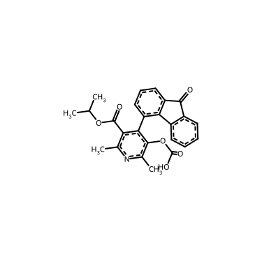 Cc1nc(C)c(C(=O)OC(C)C)c(-c2cccc3c2-c2ccccc2C3=O)c1OC(=O)O